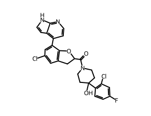 O=C(C1Cc2cc(Cl)cc(-c3ccnc4[nH]ccc34)c2O1)N1CCC(O)(c2ccc(F)cc2Cl)CC1